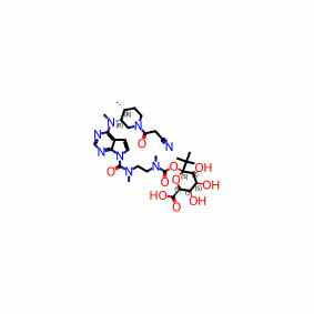 C[C@@H]1CCN(C(=O)CC#N)C[C@@H]1N(C)c1ncnc2c1ccn2C(=O)N(C)CCN(C)C(=O)O[C@]1(C(C)(C)C)O[C@H](C(=O)O)[C@@H](O)[C@H](O)[C@H]1O